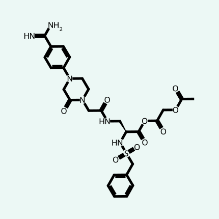 CC(=O)OCC(=O)OC(=O)[C@H](CNC(=O)CN1CCN(c2ccc(C(=N)N)cc2)CC1=O)NS(=O)(=O)Cc1ccccc1